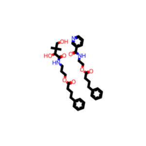 CC(C)(CO)C(O)C(=O)NCCCOC(=O)CCCc1ccccc1.O=C(CCCc1ccccc1)OCCNC(=O)c1cccnc1